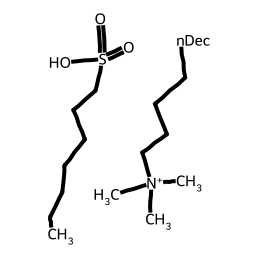 CCCCCCCCCCCCCC[N+](C)(C)C.CCCCCCCS(=O)(=O)O